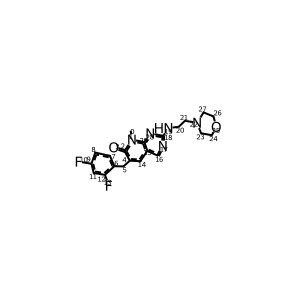 Cn1c(=O)c(Cc2ccc(F)cc2F)cc2cnc(NCCN3CCOCC3)nc21